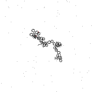 CCCc1nc(CN(C(=O)OC(C)(C)C)c2ccc(Oc3ccc(NC(=O)COc4ccc(CC5SC(=O)NC5=O)cc4)c(N(C)C(=O)OC(C)(C)C)c3)cc2)c(C(=O)O)n1Cc1ccc(-c2ccccc2-c2nnnn2C(c2ccccc2)(c2ccccc2)c2ccccc2)cc1